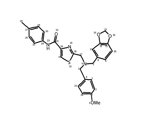 COc1ccc(CN(Cc2ccc3c(c2)OCO3)Cc2nc(C(=O)Nc3ccc(C)cc3)cs2)cc1